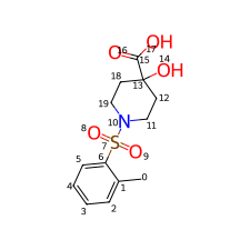 Cc1ccccc1S(=O)(=O)N1CCC(O)(C(=O)O)CC1